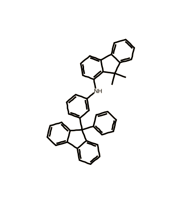 CC1(C)c2ccccc2-c2cccc(Nc3cccc(C4(c5ccccc5)c5ccccc5-c5ccccc54)c3)c21